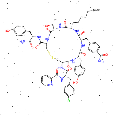 CNCCCCC[C@@H]1NC(=O)[C@@H](Cc2ccc(C(N)=O)cc2)NC(=O)[C@H](Cc2ccc(O)cc2)NC(=O)[C@H](NC(=O)[C@H](Cc2ccc(Cl)cc2)NC(=O)c2ccccn2)CSSC[C@@H](C(=O)N[C@H](Cc2ccc(O)cc2)C(N)=O)NC(=O)[C@H]([C@@H](C)O)NC1=O